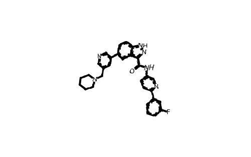 O=C(Nc1ccc(-c2cccc(F)c2)nc1)c1n[nH]c2ccc(-c3cncc(CN4CCCCC4)c3)cc12